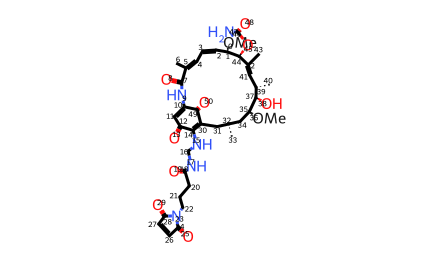 CO[C@H]1/C=C\C=C(/C)C(=O)NC2=CC(=O)C(NCNC(=O)CCCN3C(=O)C=CC3=O)=C(C[C@@H](C)C[C@H](OC)[C@H](O)[C@@H](C)/C=C(\C)[C@@H]1OC(N)=O)C2=O